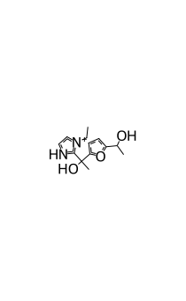 CC[n+]1cc[nH]c1C(C)(O)c1ccc(C(C)O)o1